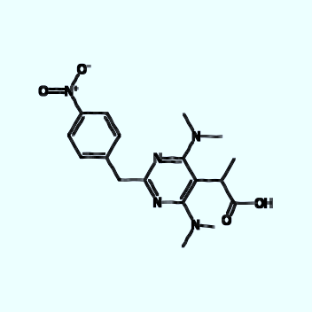 CC(C(=O)O)c1c(N(C)C)nc(Cc2ccc([N+](=O)[O-])cc2)nc1N(C)C